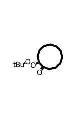 CC(C)(C)OOC1CCCCCCCCCCC1=O